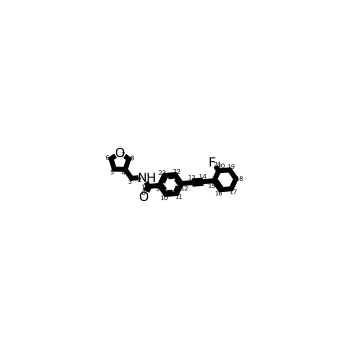 O=C(NCC1CCOC1)c1ccc(C#CC2=CCCCC2F)cc1